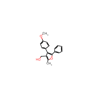 COc1ccc(-c2c(-c3ccccc3)oc(C)c2CO)cc1